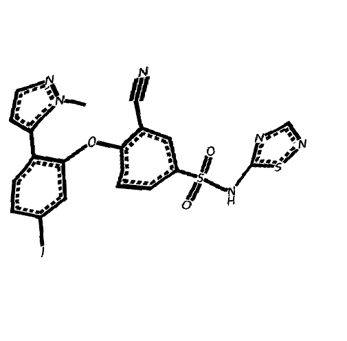 Cn1nccc1-c1ccc(I)cc1Oc1ccc(S(=O)(=O)Nc2ncns2)cc1C#N